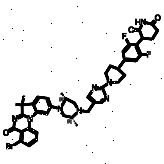 C[C@@H]1CN(c2ccc3c(c2)-n2c(nc(=O)c4c(Br)cccc42)C3(C)C)[C@H](C)CN1Cc1cnc(N2CCC(c3cc(F)c(C4CCC(=O)NC4=O)c(F)c3)CC2)nc1